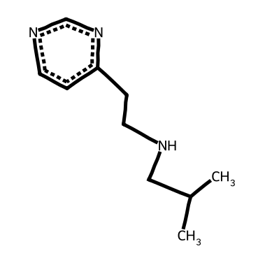 CC(C)CNCCc1ccncn1